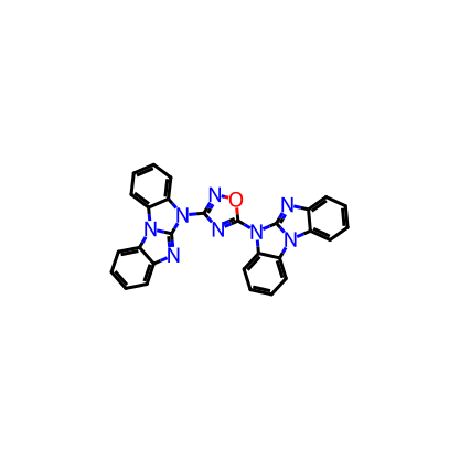 c1ccc2c(c1)nc1n(-c3noc(-n4c5ccccc5n5c6ccccc6nc45)n3)c3ccccc3n21